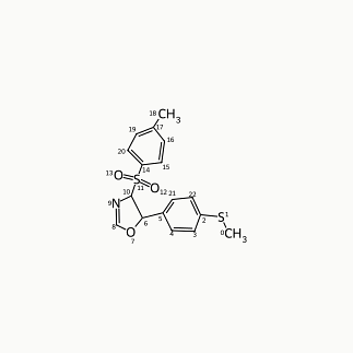 CSc1ccc(C2OC=NC2S(=O)(=O)c2ccc(C)cc2)cc1